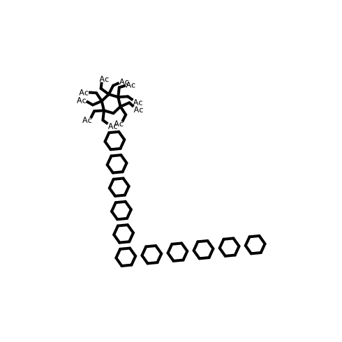 C1CCCCC1.C1CCCCC1.C1CCCCC1.C1CCCCC1.C1CCCCC1.C1CCCCC1.C1CCCCC1.C1CCCCC1.C1CCCCC1.C1CCCCC1.C1CCCCC1.CC(=O)CC1(CC(C)=O)CC(CC(C)=O)(CC(C)=O)C(CC(C)=O)(CC(C)=O)C(CC(C)=O)(CC(C)=O)C1(CC(C)=O)CC(C)=O